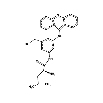 CC(C)C[C@H](N)C(=O)Nc1cc(CO)cc(Nc2c3ccccc3nc3ccccc23)c1